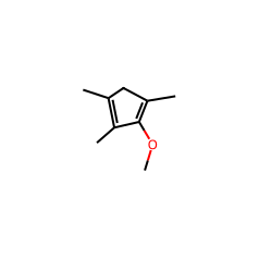 COC1=C(C)CC(C)=C1C